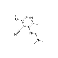 COc1cnc(Cl)c(/N=C/N(C)C)c1C#N